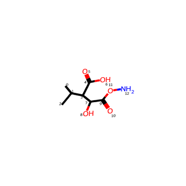 CC(C)C(C(=O)O)C(O)C(=O)ON